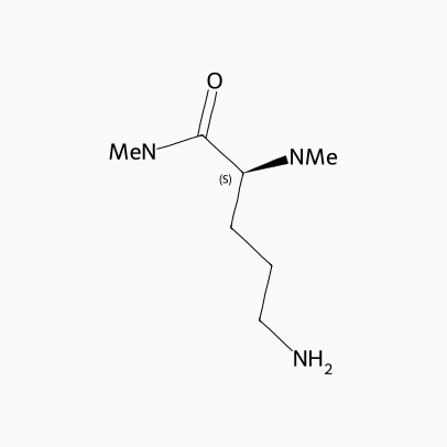 CNC(=O)[C@H](CCCN)NC